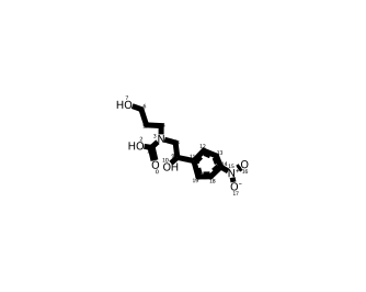 O=C(O)N(CCCO)CC(O)c1ccc([N+](=O)[O-])cc1